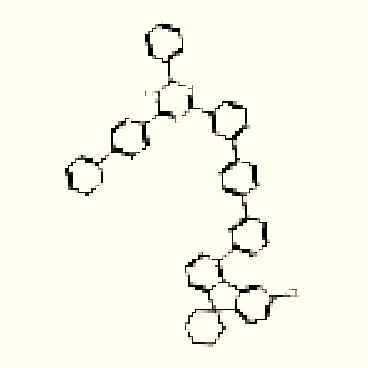 N#Cc1ccc2c(c1)-c1c(-c3cccc(-c4ccc(-c5cccc(C6=NC(c7ccccc7)NC(c7ccc(C8=CC=CCC8)cc7)=N6)c5)cc4)c3)cccc1C21CCCCC1